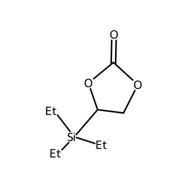 CC[Si](CC)(CC)C1COC(=O)O1